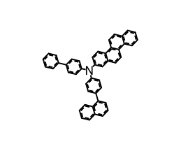 c1ccc(-c2ccc(N(c3ccc(-c4cccc5ccccc45)cc3)c3ccc4c(ccc5c6ccccc6ccc45)c3)cc2)cc1